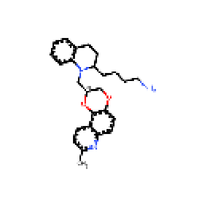 Cc1ccc2c3c(ccc2n1)OC[C@H](CN1c2ccccc2CCC1CCCCN)O3